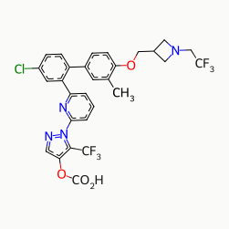 Cc1cc(-c2ccc(Cl)cc2-c2cccc(-n3ncc(OC(=O)O)c3C(F)(F)F)n2)ccc1OCC1CN(CC(F)(F)F)C1